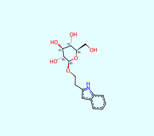 OC[C@H]1O[C@@H](OCCc2cc3ccccc3[nH]2)[C@H](O)[C@@H](O)[C@@H]1O